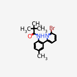 Cc1ccc(NC(=O)C(C)(C)C)c(-c2cccc(Br)n2)c1